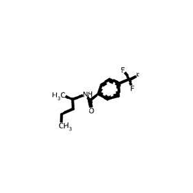 CCCC(C)NC(=O)c1ccc(C(F)(F)F)cc1